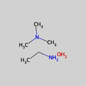 CCN.CN(C)C.O